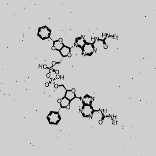 CCNC(=O)Nc1ncnc2c1ncn2[C@@H]1O[C@H](COP(=O)(O)OP(=O)(O)OC[C@H]2O[C@@H](n3cnc4c(NC(=O)NCC)ncnc43)C3O[C@H](c4ccccc4)OC32)C2O[C@H](c3ccccc3)OC21